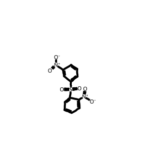 O=[N+]([O-])c1cccc(S(=O)(=O)c2ccccc2[N+](=O)[O-])c1